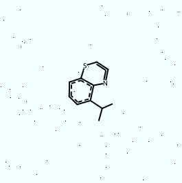 CC(C)c1cccc2c1N=C=CS2